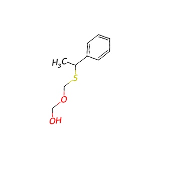 CC(SCOCO)c1ccccc1